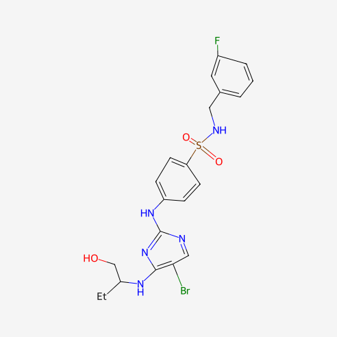 CCC(CO)Nc1nc(Nc2ccc(S(=O)(=O)NCc3cccc(F)c3)cc2)ncc1Br